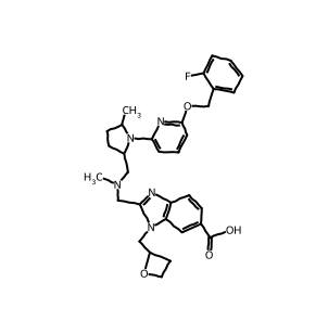 CC1CCC(CN(C)Cc2nc3ccc(C(=O)O)cc3n2CC2CCO2)N1c1cccc(OCc2ccccc2F)n1